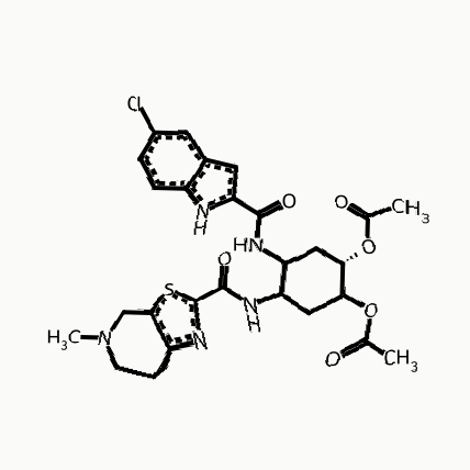 CC(=O)OC1CC(NC(=O)c2nc3c(s2)CN(C)CC3)C(NC(=O)c2cc3cc(Cl)ccc3[nH]2)C[C@@H]1OC(C)=O